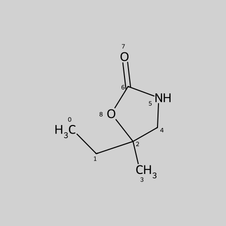 CCC1(C)CNC(=O)O1